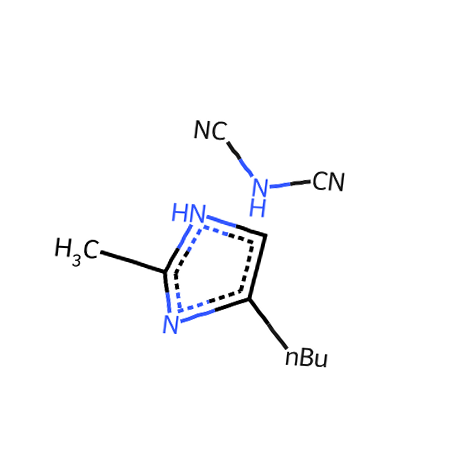 CCCCc1c[nH]c(C)n1.N#CNC#N